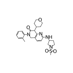 Cc1ccccc1N1Cc2ccc(NC3CCN(S(C)(=O)=O)C3)nc2C(C2CCOCC2)C1=O